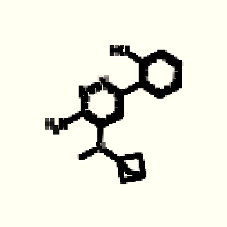 CN(c1cc(-c2ccccc2O)nnc1N)C12CC(C1)C2